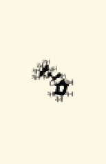 [2H]c1c([2H])c([2H])c2c(c1[2H])OC[C@H](C1=NC([2H])([2H])C([2H])([2H])N1)O2